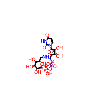 NCC1O[C@H](OP(=O)(O)OP(=O)(O)OCC2OC(n3ccc(=O)[nH]c3=O)[C@H](O)[C@@H]2O)[C@@H](O)C(O)[C@H]1O